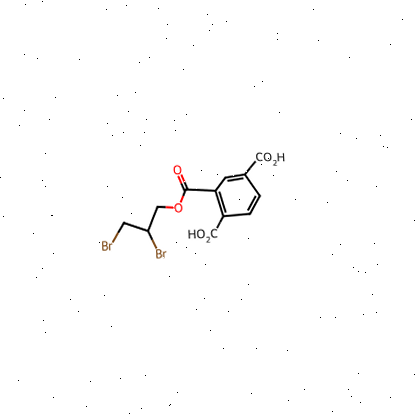 O=C(O)c1ccc(C(=O)O)c(C(=O)OCC(Br)CBr)c1